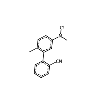 Cc1ccc(N(C)Cl)cc1-c1ccccc1C#N